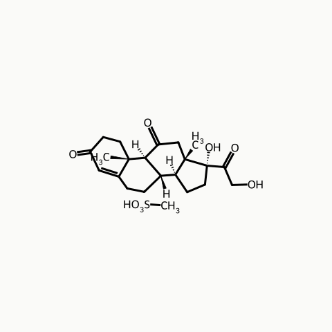 CS(=O)(=O)O.C[C@]12CCC(=O)C=C1CC[C@@H]1[C@@H]2C(=O)C[C@@]2(C)[C@H]1CC[C@]2(O)C(=O)CO